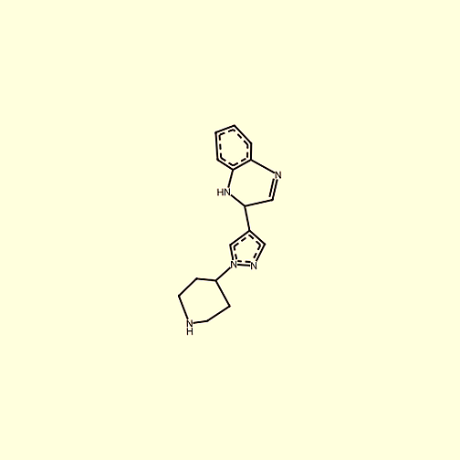 C1=Nc2ccccc2NC1c1cnn(C2CCNCC2)c1